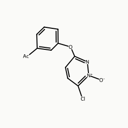 CC(=O)c1cccc(Oc2ccc(Cl)[n+]([O-])n2)c1